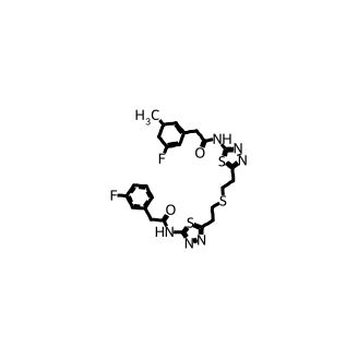 CC1C=C(CC(=O)Nc2nnc(CCSCCc3nnc(NC(=O)Cc4cccc(F)c4)s3)s2)C=C(F)C1